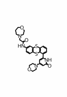 O=C(CN1CCCOCC1)Nc1ccc2c(c1)Sc1cccc(-c3cc(N4CCOCC4)cc(=O)[nH]3)c1S2